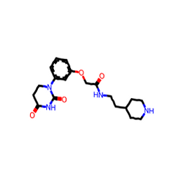 O=C(COc1cccc(N2CCC(=O)NC2=O)c1)NCCC1CCNCC1